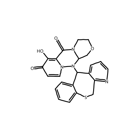 O=C1c2c(O)c(=O)ccn2N(C2c3ccccc3SCc3ncccc32)C2COCCN12